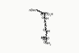 CCCCCCCCCCCCCCCC(=O)NC(CCC(=O)NCCOCCOCCC(=O)NCCCC[C@H](NS)C(=O)NCC(N)=O)C(=O)O